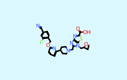 N#Cc1ccc(COc2cccc(C3CCN(Cc4nc5nc(C(=O)O)sc5n4CC4CCO4)CC3)n2)c(F)c1